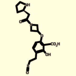 O=BCCc1ccc(OC2CN(C(=O)C[C@H]3CCCN3)C2)c(C(=O)O)c1O